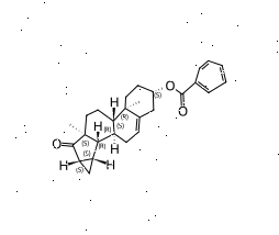 C[C@]12CC[C@H](OC(=O)c3ccccc3)CC1=CC[C@H]1[C@@H]3[C@@H]4C[C@@H]4C(=O)[C@@]3(C)CC[C@@H]12